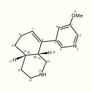 COc1cncc(C2=CCC[C@H]3CCNC[C@@H]23)c1